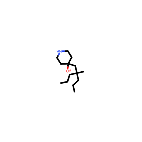 CCCC(C)(CCC)CC1(O)CCNCC1